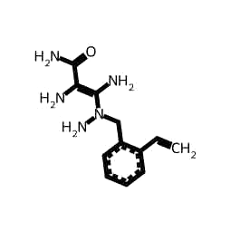 C=Cc1ccccc1CN(N)/C(N)=C(\N)C(N)=O